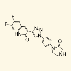 O=C1CNCCN1c1ccc(-n2cc(-c3cc4cc(F)c(F)cc4[nH]c3=O)nn2)cc1